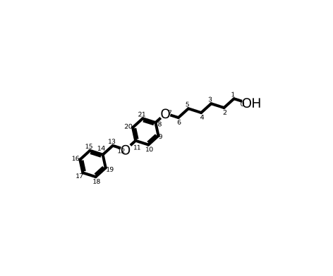 OCCCCCCOc1ccc(OCc2ccccc2)cc1